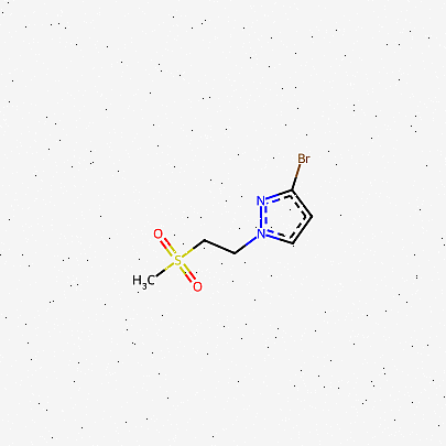 CS(=O)(=O)CCn1ccc(Br)n1